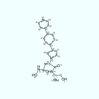 CC(C)(C)[C@@H](CO)NC(=O)[C@@H](CC(=O)NO)n1ccc(-c2ccc(-c3ccncc3)cc2)c1